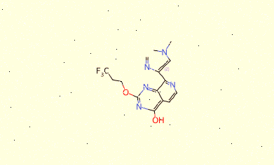 C=N/C(=C\N(C)C)c1nccc2c(O)nc(OCCC(F)(F)F)nc12